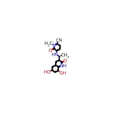 C[C@H](Nc1ccc(C#N)n(C)c1=O)c1cc2cc(O)cc(O)c2[nH]c1=O